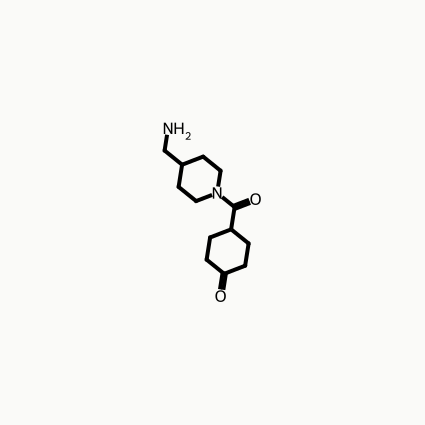 NCC1CCN(C(=O)C2CCC(=O)CC2)CC1